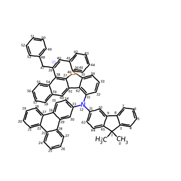 CC1(C)c2ccccc2-c2cc(N(c3ccc4c5ccccc5c5ccccc5c4c3)c3cccc4sc5c(/C(=C\c6ccccc6)Cc6ccccc6)c6ccccc6cc5c34)ccc21